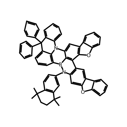 CC1(C)CCC(C)(C)c2cc(N3B4c5cccc6c5N(c5ccccc5C6(c5ccccc5)c5ccccc5)c5cc6c(oc7ccccc76)c(c54)-c4cc5c(cc43)oc3ccccc35)ccc21